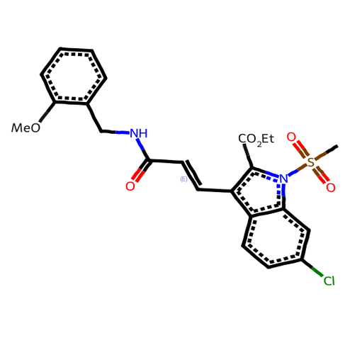 CCOC(=O)c1c(/C=C/C(=O)NCc2ccccc2OC)c2ccc(Cl)cc2n1S(C)(=O)=O